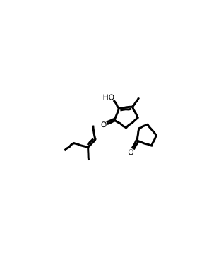 C/C=C(/C)CC.CC1=C(O)C(=O)CC1.O=C1CCCC1